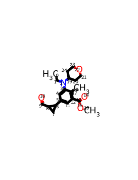 CCN(c1cc(C2CC2C=O)cc(C(=O)OC)c1C)C1CCOCC1